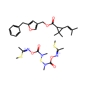 CC(C)=CC1C(C(=O)OCc2coc(Cc3ccccc3)c2)C1(C)C.CS/C(C)=N\OC(=O)N(C)SN(C)C(=O)O/N=C(/C)SC